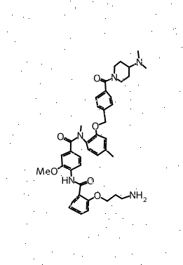 COc1cc(C(=O)N(C)c2ccc(C)cc2OCc2ccc(C(=O)N3CCC(N(C)C)CC3)cc2)ccc1NC(=O)c1ccccc1OCCCN